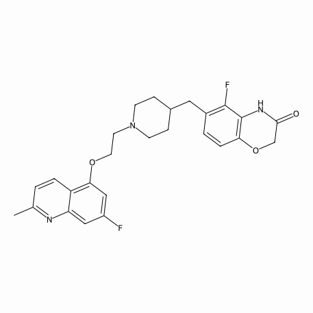 Cc1ccc2c(OCCN3CCC(Cc4ccc5c(c4F)NC(=O)CO5)CC3)cc(F)cc2n1